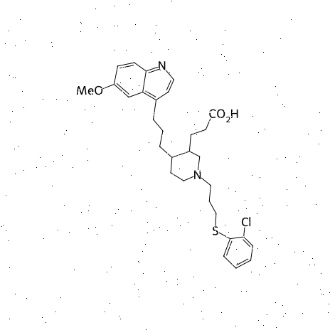 COc1ccc2nccc(CCCC3CCN(CCCSc4ccccc4Cl)CC3CCC(=O)O)c2c1